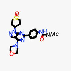 CNC(=O)Nc1ccc(-c2nc(N3CCOCC3)c3cnn(C4CC[S+]([O-])CC4)c3n2)cc1